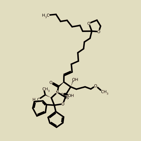 CCCCCCCC1(CCCCCC/C=C/[C@H](C(=O)N2C(=S)OC(c3ccccc3)(c3ccccc3)[C@@H]2C(C)C)[C@@](O)(CCCOC)C(=O)O)OCCO1